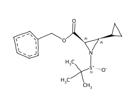 CC(C)(C)[S@@+]([O-])N1[C@H](C2CC2)[C@@H]1C(=O)OCc1ccccc1